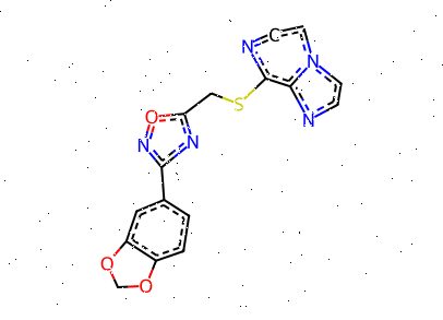 c1cn2ccnc2c(SCc2nc(-c3ccc4c(c3)OCO4)no2)n1